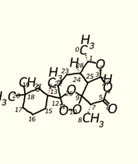 C[C@@H]1O[C@H]2OC(=O)[C@H](C)C34OOC([C@@]5(C)CCCC(C)(C)C5)(CC[C@@H]1C23)O4